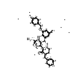 CC(=O)N[C@@H](Cc1cc(F)cc(OCc2ccc(F)cc2)c1)[C@H](O)[C@@H]1NCCN(Cc2ccccc2)C1=O